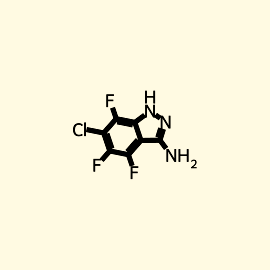 Nc1n[nH]c2c(F)c(Cl)c(F)c(F)c12